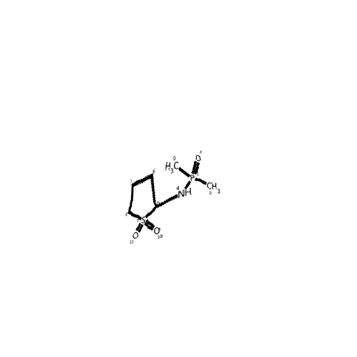 CP(C)(=O)NC1CCCS1(=O)=O